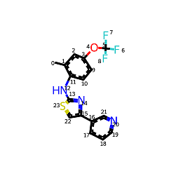 Cc1cc(OC(F)(F)F)ccc1Nc1nc(-c2cccnc2)cs1